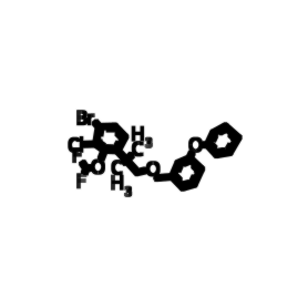 CC(C)(COCc1cccc(Oc2ccccc2)c1)c1ccc(Br)c(Cl)c1OC(F)F